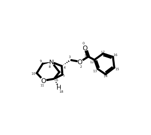 O=C(OC[C@@H]1C[C@@H]2C[N@@]1CCO2)c1ccccc1